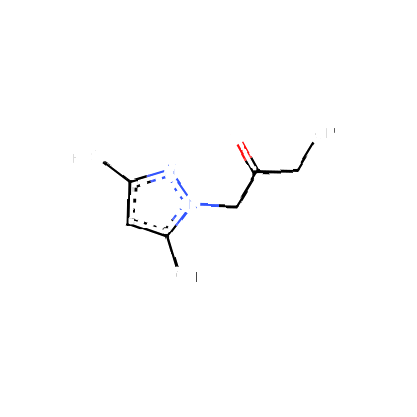 CCC(=O)Cn1nc(C)cc1C